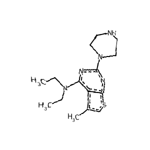 CCN(CC)c1nc(N2CCNCC2)nc2scc(C)c12